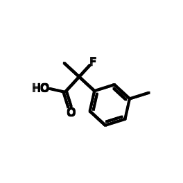 Cc1cccc(C(C)(F)C(=O)O)c1